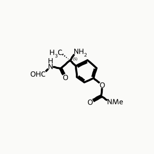 CNC(=O)Oc1ccc([C@](C)(N)C(=O)NC=O)cc1